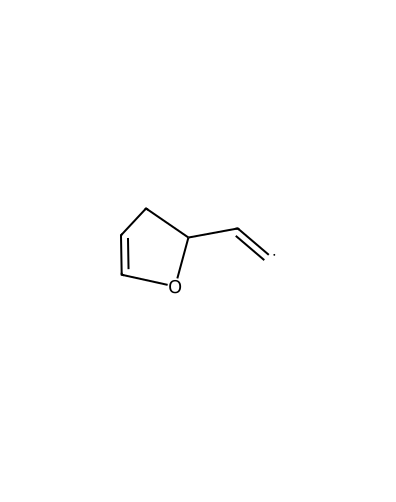 [CH]=CC1CC=CO1